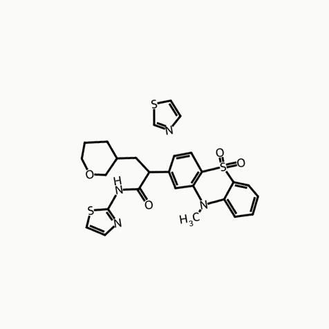 CN1c2ccccc2S(=O)(=O)c2ccc(C(CC3CCCOC3)C(=O)Nc3nccs3)cc21.c1cscn1